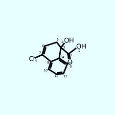 O=C(O)C1(O)CC=C(Cl)c2ccccc21